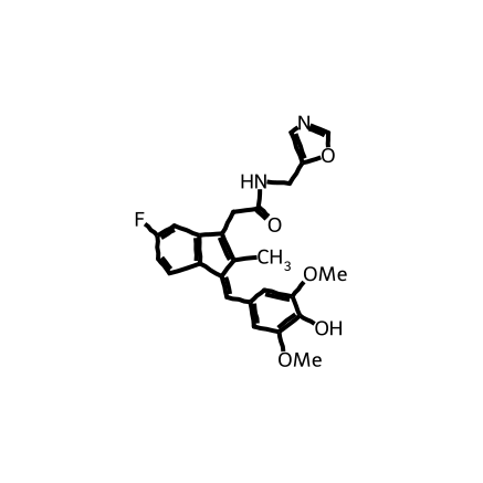 COc1cc(C=C2C(C)=C(CC(=O)NCc3cnco3)c3cc(F)ccc32)cc(OC)c1O